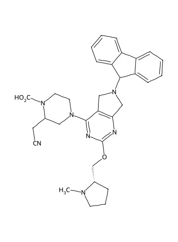 CN1CCC[C@H]1COc1nc2c(c(N3CCN(C(=O)O)C(CC#N)C3)n1)CN(C1c3ccccc3-c3ccccc31)C2